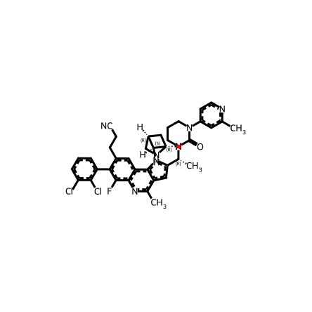 Cc1cc(N2CCCN([C@H](C)c3cc4c(C)nc5c(F)c(-c6cccc(Cl)c6Cl)c(CCC#N)cc5c4n3[C@H]3[C@H]4CN[C@@H]3C4)C2=O)ccn1